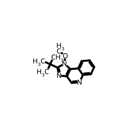 COn1c(C(C)(C)C)nc2cnc3ccccc3c21